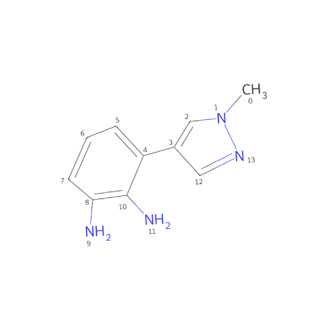 Cn1cc(-c2cccc(N)c2N)cn1